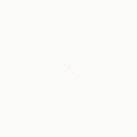 OO.OO.OO.[F-].[K+]